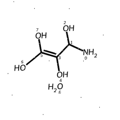 NC(O)C(O)=C(O)O.O